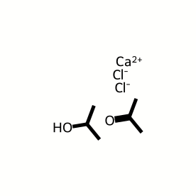 CC(C)=O.CC(C)O.[Ca+2].[Cl-].[Cl-]